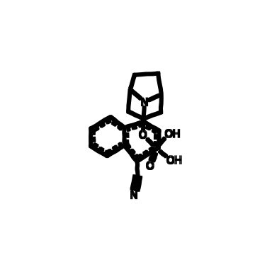 N#Cc1ccc(N2C3CCC2CC(OP(=O)(O)O)C3)c2ccccc12